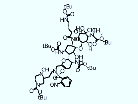 CN1CCN(C(=O)OC(C)(C)C)CC1CCN(CC1=CC[C@@H](NC(=O)OC(C)(C)C)C([C@H]2[C@H](O)[C@@H](O[C@H]3OC[C@](C)(O)[C@H](N(C)C(=O)OC(C)(C)C)[C@H]3O)[C@H](NC(=O)[C@@H](O)CCNC(=O)OC(C)(C)C)C[C@@H]2NC(=O)OC(C)(C)C)O1)S(=O)(=O)c1ccccc1N=O